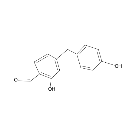 O=Cc1ccc(Cc2ccc(O)cc2)cc1O